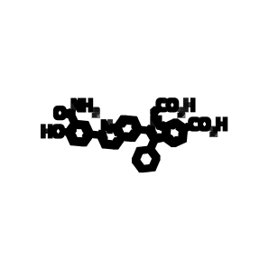 NC(=O)c1cc(-c2ccc3cc(-c4c(C5CCCCC5)c5ccc(C(=O)O)cc5n4CC(=O)O)ccc3n2)ccc1O